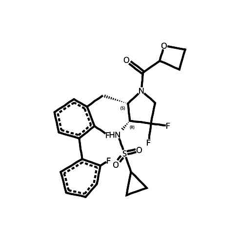 O=C(C1CCO1)N1CC(F)(F)[C@H](NS(=O)(=O)C2CC2)[C@@H]1Cc1cccc(-c2ccccc2F)c1F